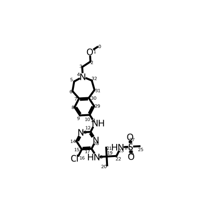 COCCN1CCc2ccc(Nc3ncc(Cl)c(NC(C)(C)CNS(C)(=O)=O)n3)cc2CC1